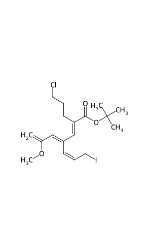 C=C(/C=C(\C=C/CI)/C=C(\CCCCl)C(=O)OC(C)(C)C)OC